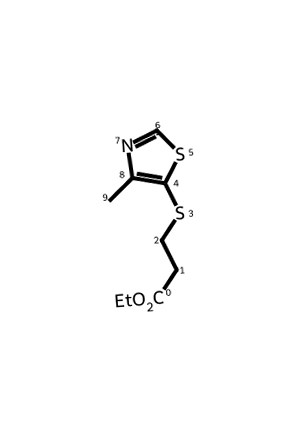 CCOC(=O)CCSc1s[c]nc1C